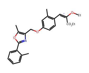 CCOC(=O)/C(=C\c1ccc(OCc2nc(-c3ccccc3C)oc2C)cc1C)OCC